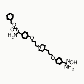 N/C(=N\O)c1ccc(OCCCC2CCN(CCCOc3ccc(/C(N)=N/C(=O)OCc4ccccc4)cc3)CC2)cc1